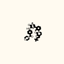 Cc1c(-c2cn(C)c(=O)c(Nc3ccc(C(=O)N4CCOCC4)cc3)n2)cccc1N1CCc2cc(C(C)(C)C)sc2C1=O